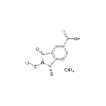 O=C(O)c1ccc2c(c1)C(=O)N(OCl)C2=O.[CaH2]